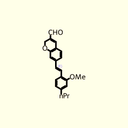 CCCc1ccc(/C=C/c2ccc3c(c2)OCC(C=O)=C3)c(OC)c1